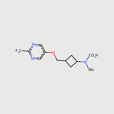 CC(C)(C)N(C(=O)O)C1CC(COc2cnc(C(F)(F)F)nc2)C1